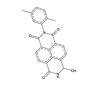 Cc1ccc(C)c(N2C(=O)c3ccc4c5c(ccc(c35)C2=O)C(O)NC4=O)c1